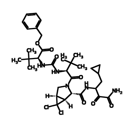 CC(C)(C)[C@H](NC(=O)N[C@H](C(=O)N1C[C@H]2[C@@H]([C@H]1C(=O)NC(CC1CC1)C(=O)C(N)=O)C2(Cl)Cl)C(C)(C)C)C(=O)OCc1ccccc1